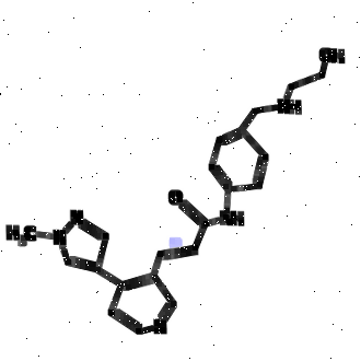 Cn1cc(-c2ccncc2/C=C/C(=O)Nc2ccc(CNCCO)cc2)cn1